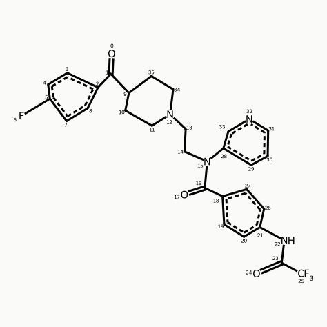 O=C(c1ccc(F)cc1)C1CCN(CCN(C(=O)c2ccc(NC(=O)C(F)(F)F)cc2)c2cccnc2)CC1